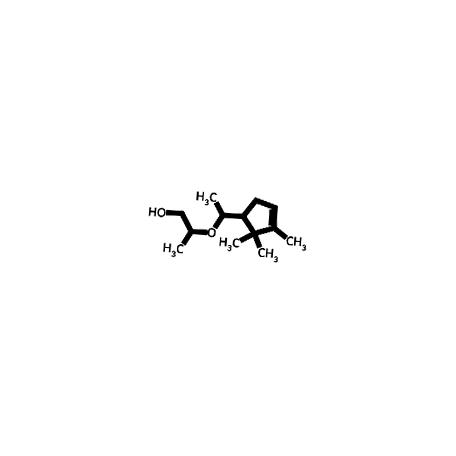 CC1=CCC(C(C)OC(C)CO)C1(C)C